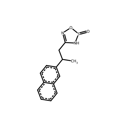 CC(CC1=NOS(=O)N1)c1ccc2ccccc2c1